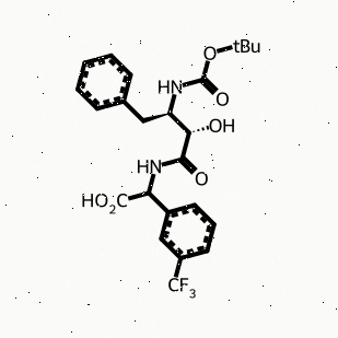 CC(C)(C)OC(=O)N[C@H](Cc1ccccc1)[C@H](O)C(=O)NC(C(=O)O)c1cccc(C(F)(F)F)c1